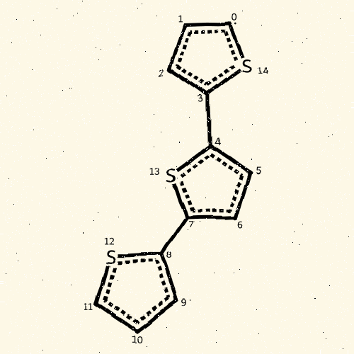 [c]1ccc(-c2ccc(-c3cccs3)s2)s1